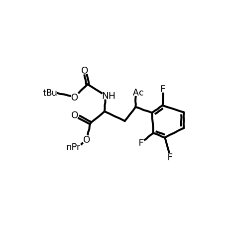 CCCOC(=O)C(CC(C(C)=O)c1c(F)ccc(F)c1F)NC(=O)OC(C)(C)C